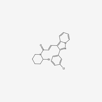 CCC1CCCCN1C(=O)C=Cc1c(-c2cccc(Cl)c2)nn2ccccc12